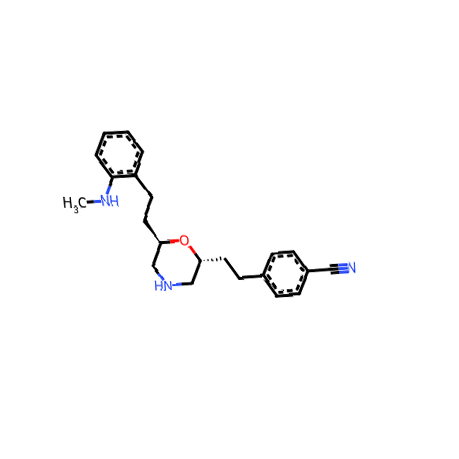 CNc1ccccc1CC[C@@H]1CNC[C@@H](CCc2ccc(C#N)cc2)O1